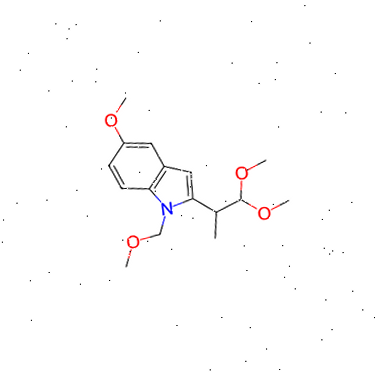 COCn1c(C(C)C(OC)OC)cc2cc(OC)ccc21